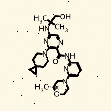 C[C@@H]1CN(c2cccc(NC(=O)c3ncc(NC(C)(C)CO)nc3N3CCC4(CC3)CC4)n2)CCO1